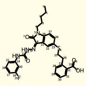 CCCCCN1C(=O)C(=NNC(=O)Nc2cccc(F)c2)c2cc(SCCc3ccccc3C(=O)O)ccc21